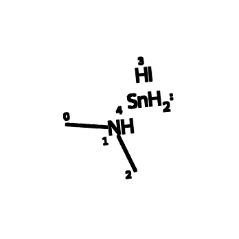 CNC.I.[SnH2]